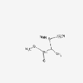 CO[PH](=O)C(C)OC#N.[NaH]